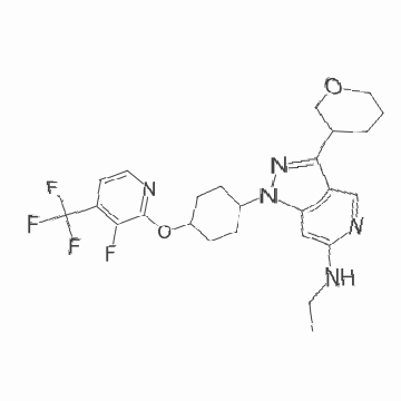 CCNc1cc2c(cn1)c(C1CCCOC1)nn2C1CCC(Oc2nccc(C(F)(F)F)c2F)CC1